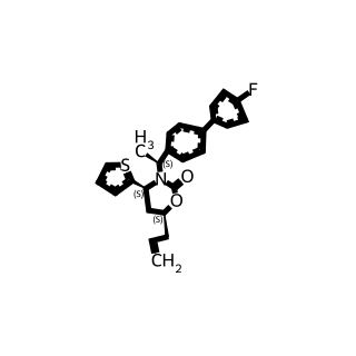 C=CC[C@H]1C[C@@H](c2cccs2)N([C@@H](C)c2ccc(-c3ccc(F)cc3)cc2)C(=O)O1